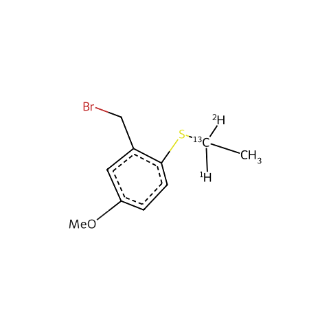 [1H][13C]([2H])(C)Sc1ccc(OC)cc1CBr